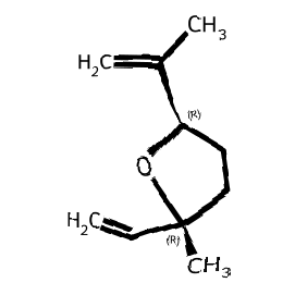 C=C[C@@]1(C)CC[C@H](C(=C)C)O1